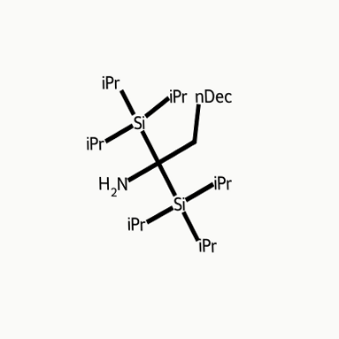 CCCCCCCCCCCC(N)([Si](C(C)C)(C(C)C)C(C)C)[Si](C(C)C)(C(C)C)C(C)C